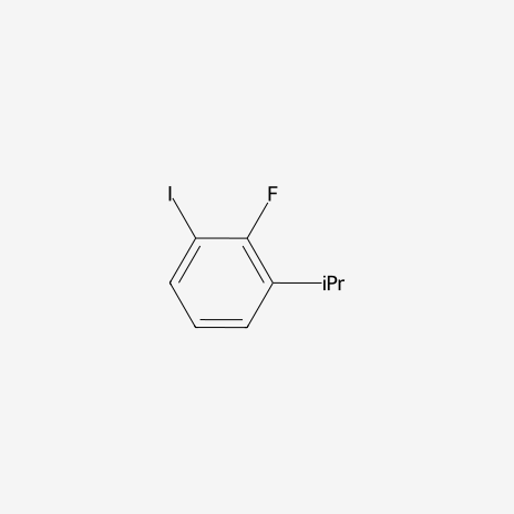 CC(C)c1cccc(I)c1F